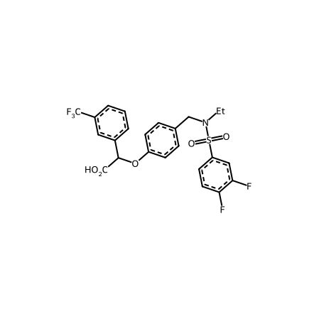 CCN(Cc1ccc(OC(C(=O)O)c2cccc(C(F)(F)F)c2)cc1)S(=O)(=O)c1ccc(F)c(F)c1